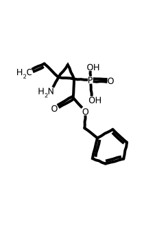 C=CC1(N)CC1(C(=O)OCc1ccccc1)P(=O)(O)O